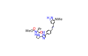 CNc1cc(/C=C/Cc2ccc(-c3cnc(C4CCCN4C(=O)C(NC(=O)OC)C(C)C)[nH]3)cc2)ccc1N